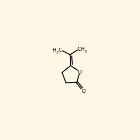 CC(C)=C1CCC(=O)O1